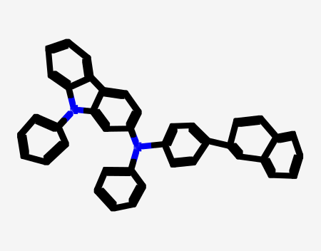 c1ccc(N(c2ccc(-c3ccc4ccccc4c3)cc2)c2ccc3c4ccccc4n(-c4ccccc4)c3c2)cc1